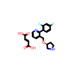 Fc1ccc(-c2ncccc2CO[C@H]2CCNC2)c(F)c1.O=C(O)C=CC(=O)O